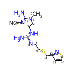 CN(CCNC(N)=NCCSCc1ccsn1)C(N)=NC#N